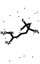 CNC(C)CCCC1(C)CC1(F)F